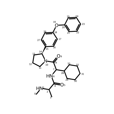 CNC(C)C(=O)NC(C(=O)N1CCC[C@H]1c1ccc(Oc2ccccc2)cc1)C1CCCCC1